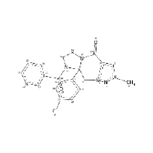 Cc1cc2n(n1)CC1(c3ccc(Cl)cc3)N(C(=O)c3cccnc3)CCN1C2=O